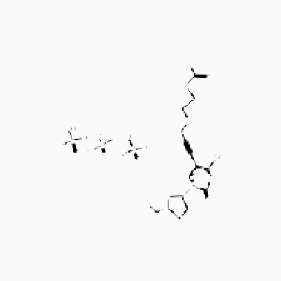 Nc1nc(=O)n([C@H]2CC[C@@H](CO)O2)cc1C#CCOCCNC(=O)C(F)(F)F.O=P(O)(O)O.O=P(O)(O)O.O=P(O)(O)O